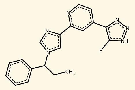 CCC(c1ccccc1)n1cnc(-c2cc(-c3nn[nH]c3F)ccn2)c1